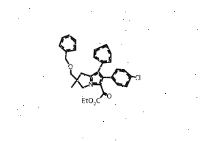 CCOC(=O)C(=O)c1c(-c2ccc(Cl)cc2)c(-c2ccccc2)c2n1CC(C)(COCc1ccccc1)C2